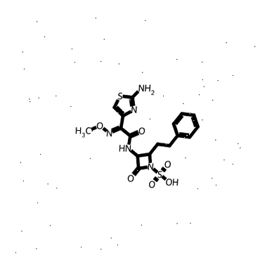 CON=C(C(=O)NC1C(=O)N(S(=O)(=O)O)C1CCc1ccccc1)c1csc(N)n1